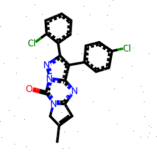 CC1=Cc2nc3c(-c4ccc(Cl)cc4)c(-c4ccccc4Cl)nn3c(=O)n2C1